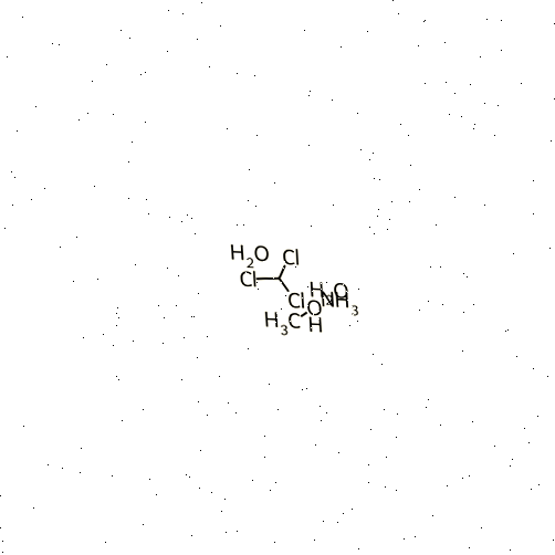 CO.ClC(Cl)Cl.N.O.O